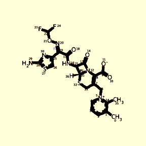 Cc1ccc[n+](CC2=C(C(=O)[O-])N3C(=O)C(NC(=O)/C(=N/OC(F)F)c4csc(N)n4)[C@H]3SC2)c1C